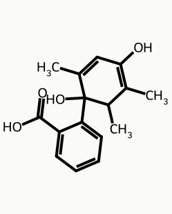 CC1=CC(O)=C(C)C(C)C1(O)c1ccccc1C(=O)O